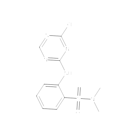 CN(C)S(=O)(=O)c1ccccc1Nc1ncnc(Cl)n1